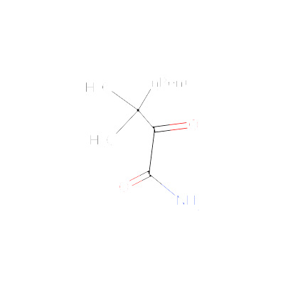 CCCCCC(C)(C)C(=O)C(N)=O